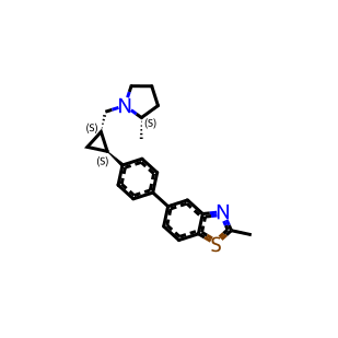 Cc1nc2cc(-c3ccc([C@H]4C[C@@H]4CN4CCC[C@@H]4C)cc3)ccc2s1